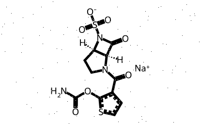 NC(=O)Oc1sccc1C(=O)N1CC[C@@H]2[C@H]1C(=O)N2S(=O)(=O)[O-].[Na+]